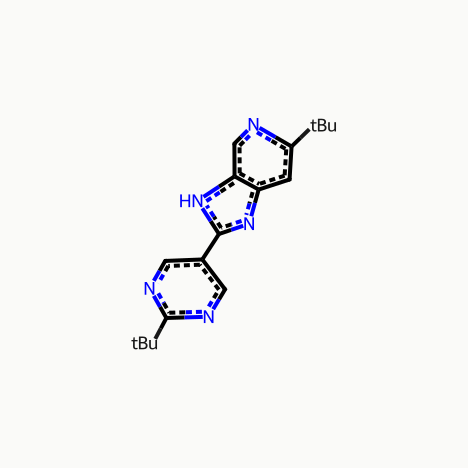 CC(C)(C)c1cc2nc(-c3cnc(C(C)(C)C)nc3)[nH]c2cn1